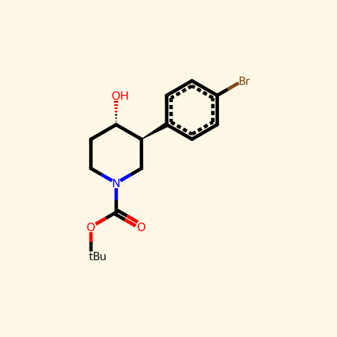 CC(C)(C)OC(=O)N1CC[C@H](O)[C@@H](c2ccc(Br)cc2)C1